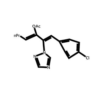 CCC/C=C(OC(C)=O)/C(=C/c1ccc(Cl)cc1)n1cncn1